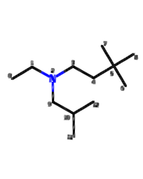 CCN(CCC(C)(C)C)CC(C)C